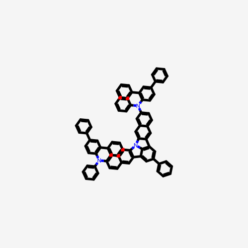 c1ccc(-c2ccc(N(c3ccccc3)c3ccc4cc5c6cc(-c7ccccc7)cc7c8cc9ccc(N(c%10ccccc%10)c%10ccc(-c%11ccccc%11)cc%10-c%10ccccc%10)cc9cc8n(c5cc4c3)c67)c(-c3ccccc3)c2)cc1